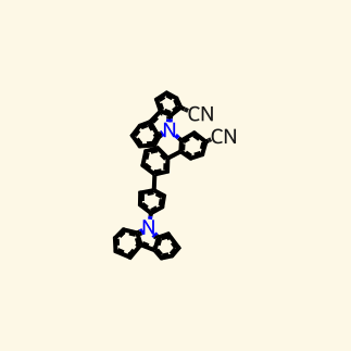 N#Cc1ccc(-c2cccc(-c3ccc(-n4c5ccccc5c5ccccc54)cc3)c2)c(-n2c3ccccc3c3cccc(C#N)c32)c1